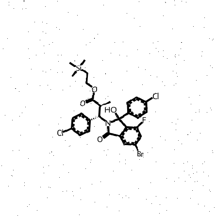 C[C@H](C(=O)OCC[Si](C)(C)C)[C@@H](c1ccc(Cl)cc1)N1C(=O)c2cc(Br)cc(F)c2C1(O)c1ccc(Cl)cc1